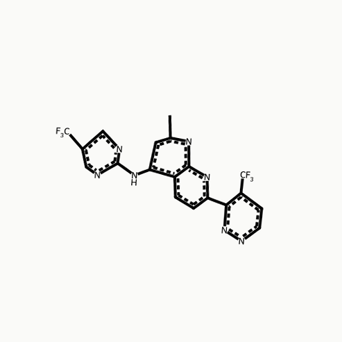 Cc1cc(Nc2ncc(C(F)(F)F)cn2)c2ccc(-c3nnccc3C(F)(F)F)nc2n1